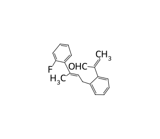 C/C=C(\C=O)c1ccccc1C/C=C(\C)c1ccccc1F